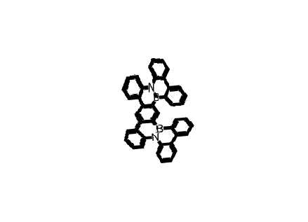 c1ccc2c(c1)B1c3cc4c(cc3-c3ccccc3N1c1ccccc1-2)-c1ccccc1N1B4c2ccccc2-c2ccccc21